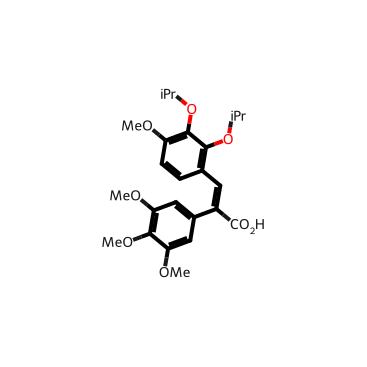 COc1cc(/C(=C\c2ccc(OC)c(OC(C)C)c2OC(C)C)C(=O)O)cc(OC)c1OC